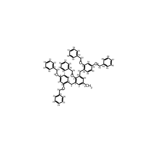 Cc1cc(Cc2ccc(OCc3ccccc3)cc2OCc2ccccc2)c(OCc2ccccc2)c(Cc2ccc(OCc3ccccc3)cc2OCc2ccccc2)c1